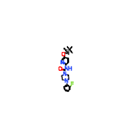 CC(C)(C)[Si](C)(C)Oc1ccc(NC(=O)N2CCN(c3ccccc3F)CC2)nc1